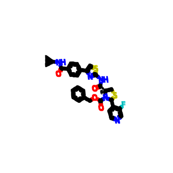 O=C(NC1CC1)c1ccc(-c2csc(NC(=O)[C@@H]3CSC(c4ccncc4F)N3C(=O)OCc3ccccc3)n2)cc1